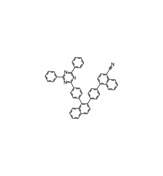 N#Cc1ccc(-c2ccc(-c3ccc4ccccc4c3-c3ccc(-c4nc(-c5ccccc5)nc(-c5ccccc5)n4)cc3)cc2)c2ccccc12